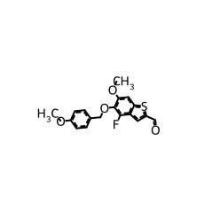 COc1ccc(COc2c(OC)cc3sc(C=O)cc3c2F)cc1